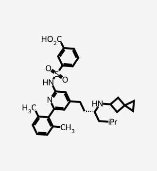 Cc1cccc(C)c1-c1cc(CC[C@@H](CC(C)C)NC2CC3(CC3)C2)cc(NS(=O)(=O)c2cccc(C(=O)O)c2)n1